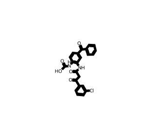 O=C(O)Nc1ccc(C(=O)c2ccccc2)cc1NC(=O)CC(=O)c1cccc(Cl)c1